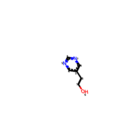 OCCc1cncnc1